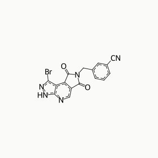 N#Cc1cccc(CN2C(=O)c3cnc4[nH]nc(Br)c4c3C2=O)c1